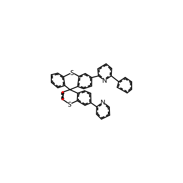 c1ccc(-c2cccc(-c3ccc4c(c3)Sc3ccccc3C43c4ccccc4Sc4cc(-c5ccccn5)ccc43)n2)cc1